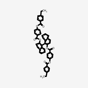 CCc1ccc(C(=O)Oc2ccc(C(=O)Oc3ccc4ccccc4c3-c3c(OC(=O)c4ccc(OC(=O)c5ccc(CC)cc5)cc4)ccc4ccccc34)cc2)cc1